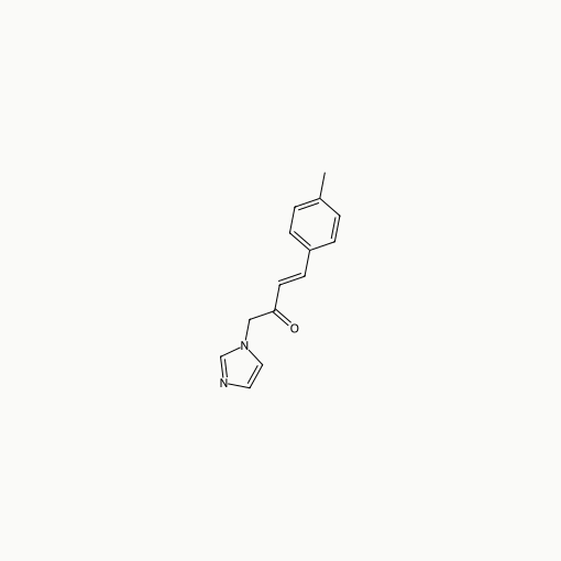 Cc1ccc(C=CC(=O)Cn2ccnc2)cc1